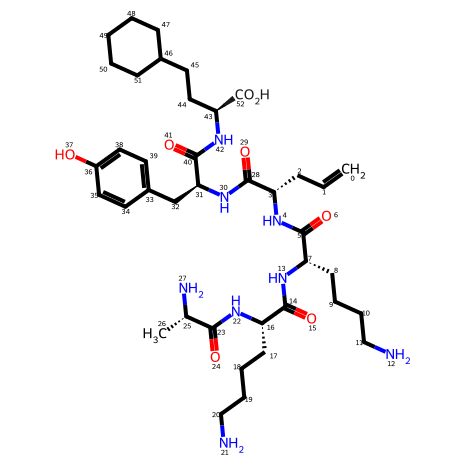 C=CC[C@H](NC(=O)[C@H](CCCCN)NC(=O)[C@H](CCCCN)NC(=O)[C@H](C)N)C(=O)N[C@@H](Cc1ccc(O)cc1)C(=O)N[C@@H](CCC1CCCCC1)C(=O)O